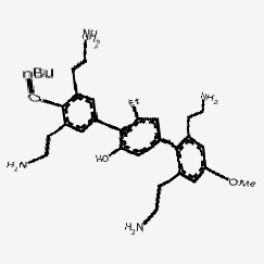 CCCCOc1c(CCN)cc(-c2c(O)cc(-c3c(CCN)cc(OC)cc3CCN)cc2CC)cc1CCN